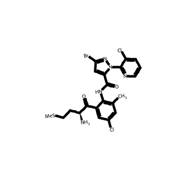 CSCC[C@H](N)C(=O)c1cc(Cl)cc(C)c1NC(=O)c1cc(Br)nn1-c1ncccc1Cl